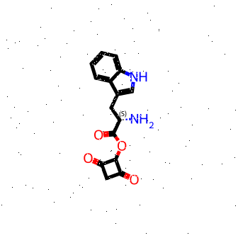 N[C@@H](Cc1c[nH]c2ccccc12)C(=O)OC1C(=O)CC1=O